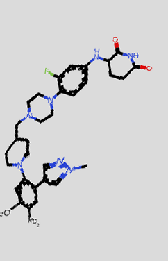 COc1cc(N2CCC(CN3CCN(c4ccc(NC5CCC(=O)NC5=O)cc4F)CC3)CC2)c(-c2cnn(C)c2)cc1[N+](=O)[O-]